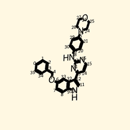 c1ccc(COc2ccc3[nH]cc(-c4ccnc(Nc5ccc(N6CCOCC6)cc5)n4)c3c2)cc1